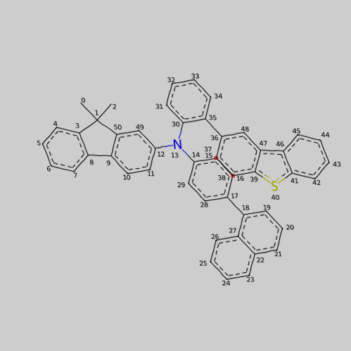 CC1(C)c2ccccc2-c2ccc(N(c3ccc(-c4cccc5ccccc45)cc3)c3ccccc3-c3ccc4sc5ccccc5c4c3)cc21